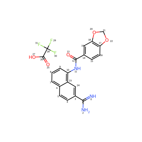 N=C(N)c1ccc2cccc(NC(=O)c3ccc4c(c3)OCO4)c2c1.O=C(O)C(F)(F)F